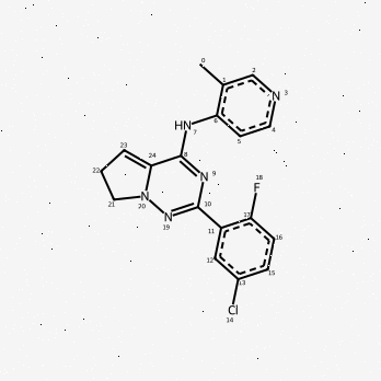 Cc1cnccc1NC1=NC(c2cc(Cl)ccc2F)=NN2CCC=C12